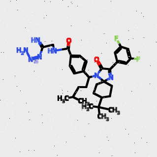 CC(C)CCC(c1ccc(C(=O)NCC(=N)/N=N\N)cc1)N1C(=O)C(c2cc(F)cc(F)c2)=NC12CCC(C(C)(C)C)CC2